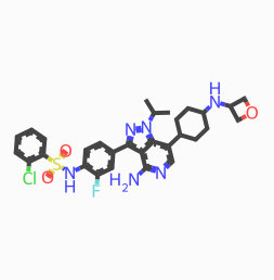 CC(C)n1nc(-c2ccc(NS(=O)(=O)c3ccccc3Cl)c(F)c2)c2c(N)ncc(C3CCC(NC4COC4)CC3)c21